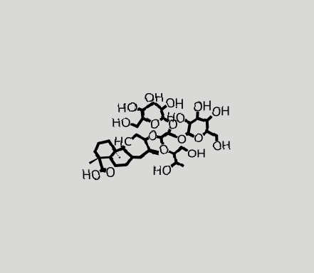 C=C1CC2CCC3[C@](C)(C(=O)O)CCC[C@@]3(C)[C@@H]2CCC1OC(OC(CO)C(C)O)C(OC1OC(CO)C(O)C(O)C1O)OC1OC(CO)C(O)C(O)C1O